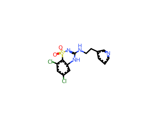 O=S1(=O)N=C(NCCc2cccnc2)Nc2cc(Cl)cc(Cl)c21